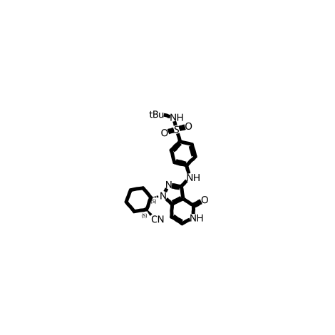 CC(C)(C)NS(=O)(=O)c1ccc(Nc2nn([C@H]3CCCC[C@@H]3C#N)c3cc[nH]c(=O)c23)cc1